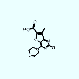 Cc1c(C(=O)O)oc2c(N3CCOCC3)nc(Cl)nc12